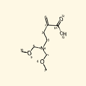 C=C(CCN(COC)COC)C(=O)O